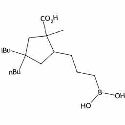 CCCCC1(C(C)CC)CC(CCCB(O)O)C(C)(C(=O)O)C1